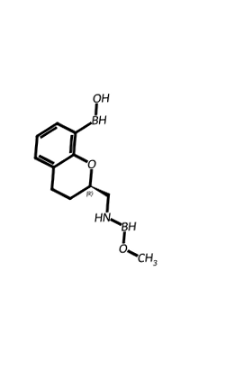 COBNC[C@H]1CCc2cccc(BO)c2O1